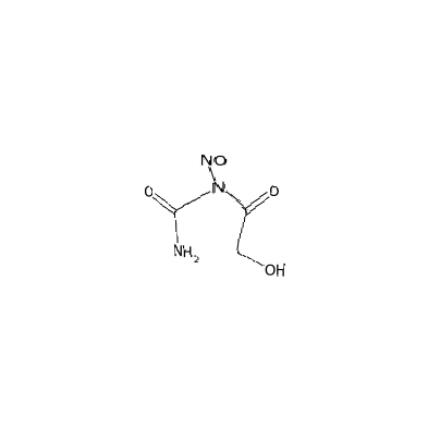 NC(=O)N(N=O)C(=O)CO